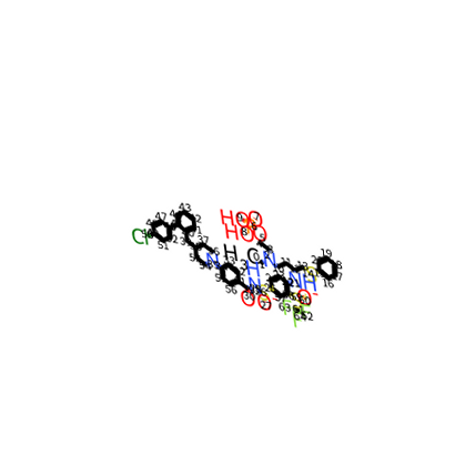 CCN(CCOP(=O)(O)O)CCC(CSc1ccccc1)Nc1ccc([S+]([O-])NC(=O)c2ccc(N3CCC(Cc4ccccc4-c4ccc(Cl)cc4)CC3)cc2)cc1[S+]([O-])C(F)(F)F